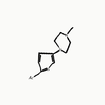 CC(=O)c1ccc(N2CCN(C)CC2)cn1